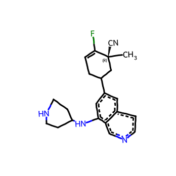 C[C@]1(C#N)CC(c2cc(NC3CCNCC3)c3cnccc3c2)CC=C1F